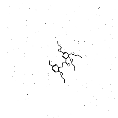 CCCOc1cc(OCCC)c(OCCC)c(C(=O)CCc2cc(CC)ccc2OCCC)c1